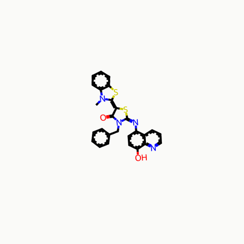 CN1C(=C2SC(=Nc3ccc(O)c4ncccc34)N(Cc3ccccc3)C2=O)Sc2ccccc21